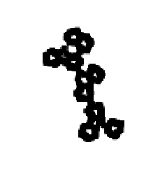 c1ccc(-n2c3ccccc3c3cc(-c4ccc5c(c4)-c4ccccc4C(c4cc(-c6cccc7ccccc67)c6sc7ccccc7c6c4)C5)ccc32)cc1